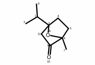 CC(C)C12CCC(C)(O1)C(=O)C2